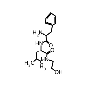 CC(C)C[C@H](NC(=O)[C@@H](N)Cc1ccccc1)C(=O)NCCO